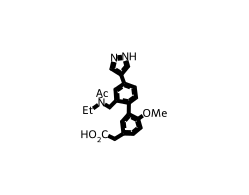 CCN(Cc1cc(-c2cn[nH]c2)ccc1-c1cc(CC(=O)O)ccc1OC)C(C)=O